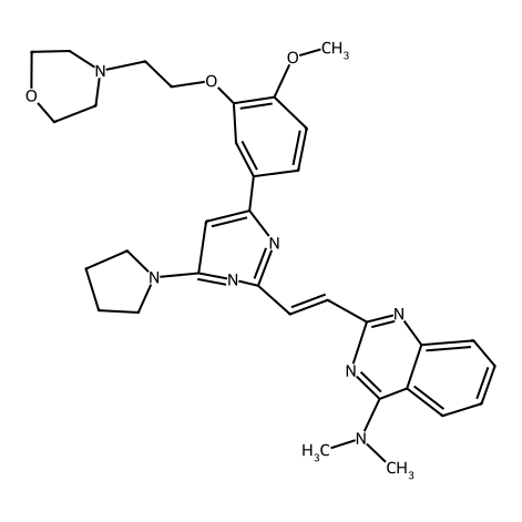 COc1ccc(-c2cc(N3CCCC3)nc(/C=C/c3nc(N(C)C)c4ccccc4n3)n2)cc1OCCN1CCOCC1